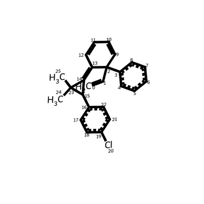 C=CC1(c2ccccc2)C=CC=CC1=C1C(c2ccc(Cl)cc2)C1(C)C